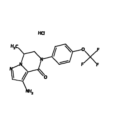 CC1CN(c2ccc(OC(F)(F)F)cc2)C(=O)c2c(N)cnn21.Cl